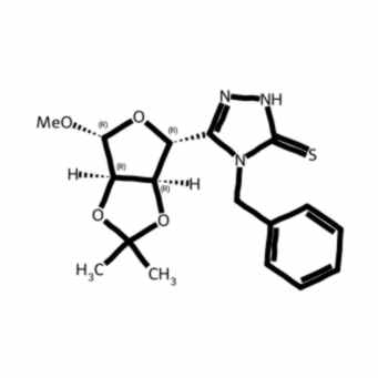 CO[C@@H]1O[C@H](c2n[nH]c(=S)n2Cc2ccccc2)[C@H]2OC(C)(C)O[C@@H]12